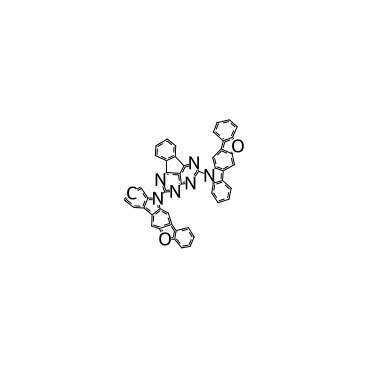 c1ccc2c(c1)-c1nc(-n3c4ccccc4c4cc5oc6ccccc6c5cc43)nc3nc(-n4c5ccccc5c5cc6oc7ccccc7c6cc54)nc-2c13